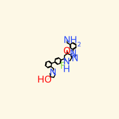 NCc1cccc(-n2cnc3c2C(=O)CC(c2ccc(-c4ccccc4CN4CC[C@H](O)C4)cc2F)NC3)c1